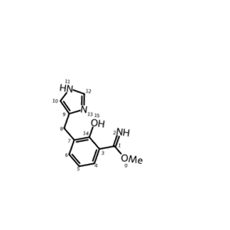 COC(=N)c1cccc(Cc2c[nH]cn2)c1O